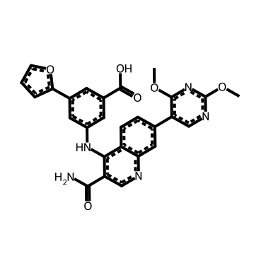 COc1ncc(-c2ccc3c(Nc4cc(C(=O)O)cc(-c5ccco5)c4)c(C(N)=O)cnc3c2)c(OC)n1